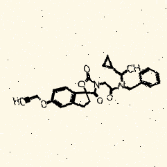 C#CCOc1ccc2c(c1)CCC21OC(=O)N(CC(=O)N(Cc2ccccc2)C(C)C2CC2)C1=O